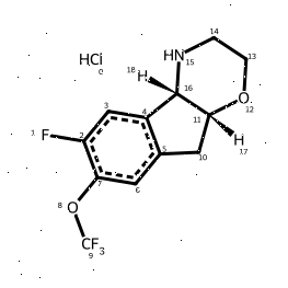 Cl.Fc1cc2c(cc1OC(F)(F)F)C[C@H]1OCCN[C@@H]21